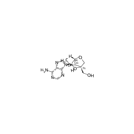 CO[C@H]1[C@H]2OC[C@]1(CO)O[C@H]2n1cnc2c(N)ncnc21